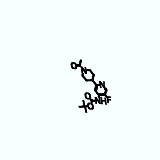 CC(=O)N1CCC(c2cc(NC(=O)OC(C)(C)C)c(F)cn2)CC1